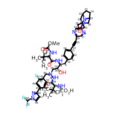 COC(=O)N[C@H](C(=O)N[C@@H](Cc1ccc(C#Cc2cnc(N3CC4CCC(C3)N4C3COC3)cn2)cc1)[C@@H](O)CN(Cc1c(F)cc(-c2ccn(C(F)F)n2)cc1F)NC(=O)[C@@H](NC(=O)O)C(C)(C)C(F)(F)F)C(C)(C)C(F)(F)F